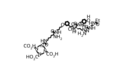 CCC(=O)NCCNC(=O)/N=C(/N)NCCC[C@@H](NC(=O)C(C)c1cccc(OCCCCNC(=O)[C@H](N)CCCCNC(=O)CN2CCN(CC(=O)O)CCN(CC(=O)O)CCN(CC(=O)O)CC2)c1)C(=O)NCc1ccc(O)cc1